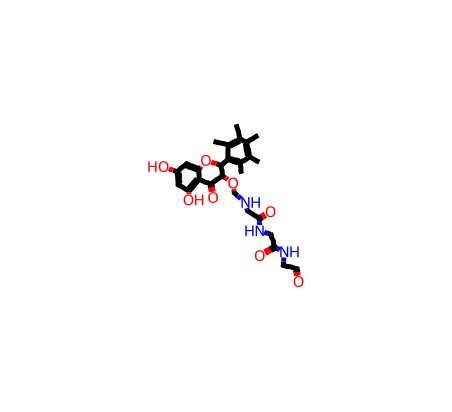 Cc1c(C)c(C)c(C2Oc3cc(O)cc(O)c3C(=O)C2OCNCC(=O)NCC(=O)NCC=O)c(C)c1C